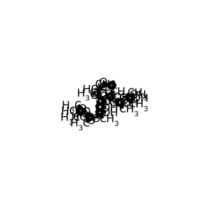 CO[C@H](C(=O)[C@@H](O)[C@@H](C)OC(=O)c1ccccc1)[C@@H]1Cc2cc3cc(O[C@H]4C[C@@H](O[C@H]5C[C@@H](C)[C@H](O)C(C)O5)[C@H](O)C(C)O4)c(C)c(O)c3c(O)c2C(=O)[C@H]1O[C@H]1C[C@@H](O[C@@H]2CC(C)[C@H](O)[C@H](O[C@@H]3CC(C)[C@@H](O)[C@@](C)(O)C3)C2)[C@H](O)C(C)O1